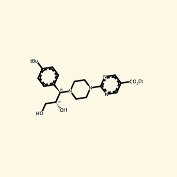 CCOC(=O)c1cnc(N2CCN([C@H](c3ccc(C(C)(C)C)cc3)[C@H](O)CO)CC2)nc1